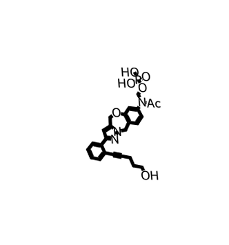 CC(=O)N(COP(=O)(O)O)c1ccc2c(c1)OCc1cc(-c3ccccc3C#CCCCO)nn1C2